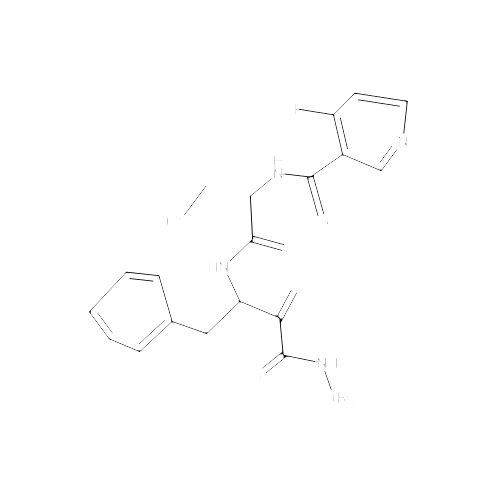 CC(C)C[C@H](NC(=O)c1cnccc1Cl)C(=O)NC(Cc1ccccc1)C(=O)C(=O)NC(C)(C)C